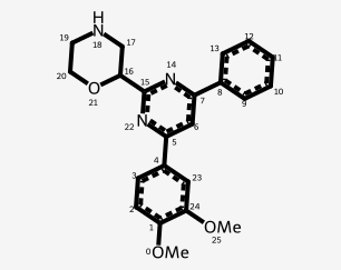 COc1ccc(-c2cc(-c3ccccc3)nc(C3CNCCO3)n2)cc1OC